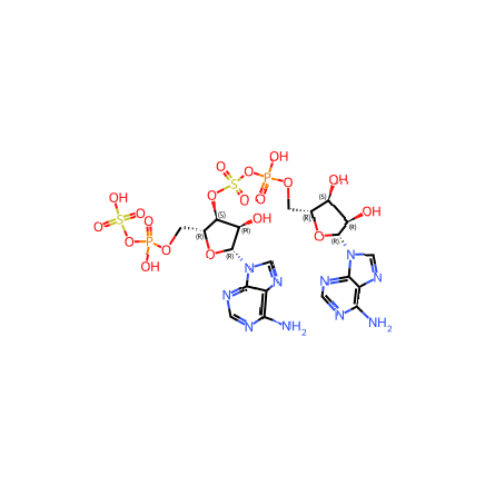 Nc1ncnc2c1ncn2[C@@H]1O[C@H](COP(=O)(O)OS(=O)(=O)O[C@H]2[C@@H](O)[C@H](n3cnc4c(N)ncnc43)O[C@@H]2COP(=O)(O)OS(=O)(=O)O)[C@@H](O)[C@H]1O